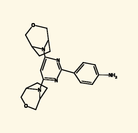 Nc1ccc(-c2nc(N3C4CCC3COC4)cc(N3C4CCC3COC4)n2)cc1